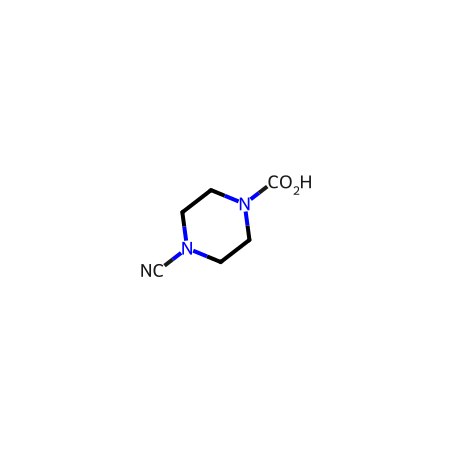 N#CN1CCN(C(=O)O)CC1